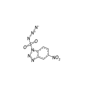 [N-]=[N+]=NS(=O)(=O)n1nnc2cc([N+](=O)[O-])ccc21